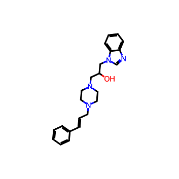 OC(CN1CCN(CC=Cc2ccccc2)CC1)Cn1cnc2ccccc21